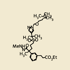 CCOC(=O)CCc1cccc(C(C)(CCCS(=O)(=O)C(C)(C)c2cnn(COCC[Si](C)(C)C)c2)C(=O)NNC)c1